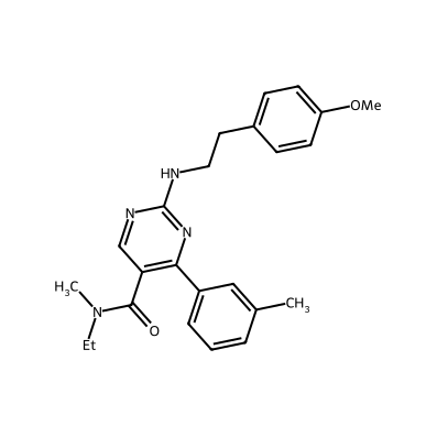 CCN(C)C(=O)c1cnc(NCCc2ccc(OC)cc2)nc1-c1cccc(C)c1